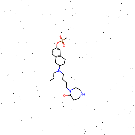 CCCN(CCCCN1CCNCCC1=O)C1CCc2cc(OS(C)(=O)=O)ccc2C1